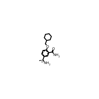 C[C@H](N)c1ccc(OCC2CCCCC2)c(C(N)=O)c1